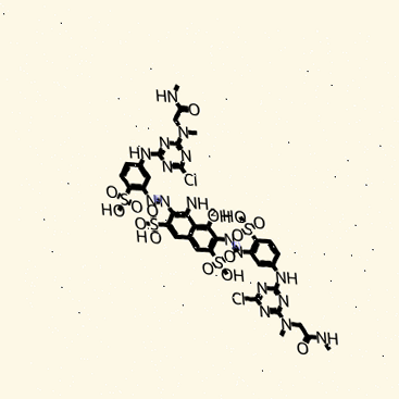 CNC(=O)CN(C)c1nc(Cl)nc(Nc2ccc(S(=O)(=O)O)c(/N=N/c3c(S(=O)(=O)O)cc4cc(S(=O)(=O)O)c(/N=N/c5cc(Nc6nc(Cl)nc(N(C)CC(=O)NC)n6)ccc5S(=O)(=O)O)c(O)c4c3N)c2)n1